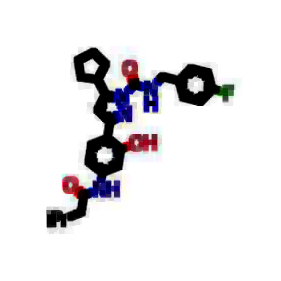 CC(C)CC(=O)Nc1ccc(-c2cc(C3CCCC3)n(C(=O)NCc3ccc(F)cc3)n2)c(O)c1